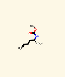 C=CCC[C@@H](NC(=O)OC(C)(C)C)C(=O)O